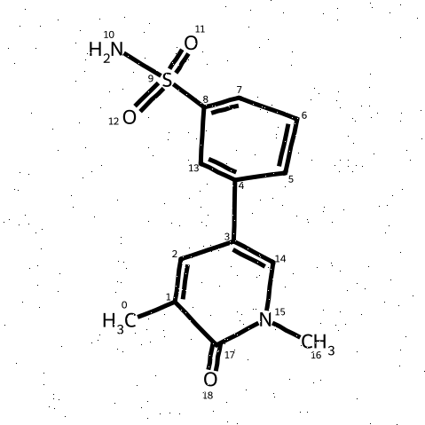 Cc1cc(-c2cccc(S(N)(=O)=O)c2)cn(C)c1=O